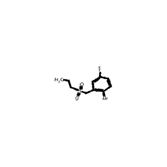 CCCS(=O)(=O)Cc1cc(F)ccc1Br